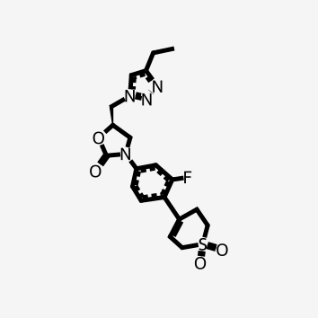 CCc1cn(C[C@H]2CN(c3ccc(C4=CCS(=O)(=O)CC4)c(F)c3)C(=O)O2)nn1